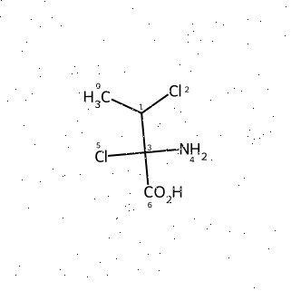 CC(Cl)C(N)(Cl)C(=O)O